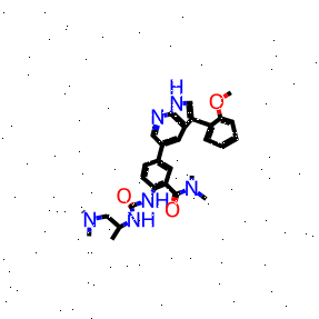 COc1ccccc1-c1c[nH]c2ncc(-c3ccc(NC(=O)NC(C)CN(C)C)c(C(=O)N(C)C)c3)cc12